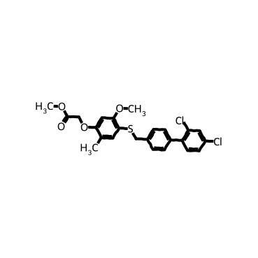 COC(=O)COc1cc(OC)c(SCc2ccc(-c3ccc(Cl)cc3Cl)cc2)cc1C